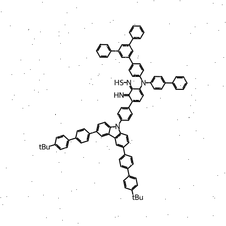 CC(C)(C)c1ccc(-c2ccc(-c3ccc4c(c3)c3cc(-c5ccc(-c6ccc(C(C)(C)C)cc6)cc5)ccc3n4-c3ccc(C4=CC=C(N(c5ccc(-c6ccccc6)cc5)c5ccc(-c6cc(-c7ccccc7)cc(-c7ccccc7)c6)cc5)/C(=N/S)C4=N)cc3)cc2)cc1